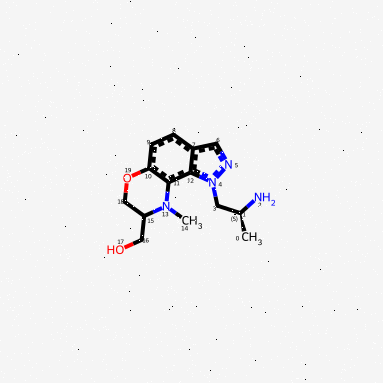 C[C@H](N)Cn1ncc2ccc3c(c21)N(C)C(CO)CO3